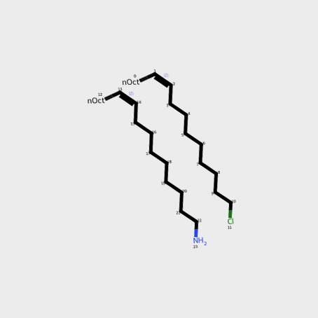 CCCCCCCC/C=C\CCCCCCCCCl.CCCCCCCC/C=C\CCCCCCCCN